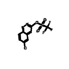 O=S(=O)(Oc1cc2cc(Cl)ccc2nn1)C(F)(F)F